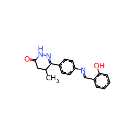 CC1CC(=O)NN=C1c1ccc(N=Cc2ccccc2O)cc1